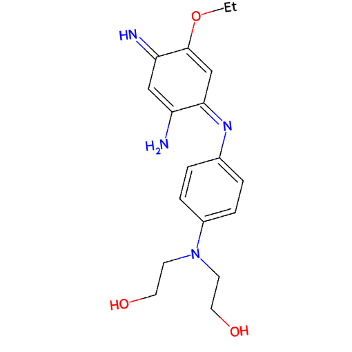 CCOC1=C/C(=N/c2ccc(N(CCO)CCO)cc2)C(N)=CC1=N